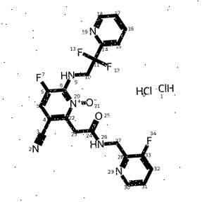 Cl.Cl.N#Cc1cc(F)c(NCC(F)(F)c2ccccn2)[n+]([O-])c1CC(=O)NCc1ncccc1F